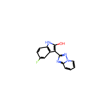 Oc1[nH]c2ccc(F)cc2c1-c1nc2ccccn2n1